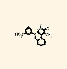 O=C(O)c1cccc(OCC2CCCCN2c2cn[nH]c(=O)c2C(F)(F)F)c1